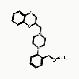 COCc1ccccc1N1CCN(CC2CSc3ccccc3O2)CC1